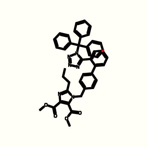 CCCc1nc(C(=O)OC)c(C(=O)OC)n1Cc1ccc(-c2ccccc2-c2nnnn2C(c2ccccc2)(c2ccccc2)c2ccccc2)cc1